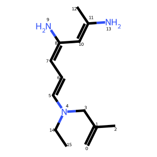 C=C(C)CN(/C=C/C=C(N)\C=C(/C)N)CC